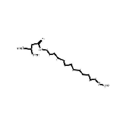 CCCCCCCC(CCCCCCC)CC(=O)OCCCCCCCCCCCCCOC=O